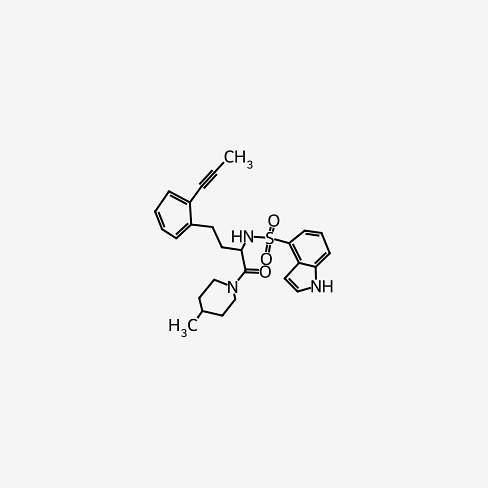 CC#Cc1ccccc1CCC(NS(=O)(=O)c1cccc2[nH]ccc12)C(=O)N1CCC(C)CC1